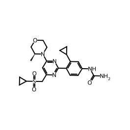 C[C@H]1COCCN1c1cc(CS(=O)(=O)C2CC2)nc(-c2ccc(NC(N)=O)cc2C2CC2)n1